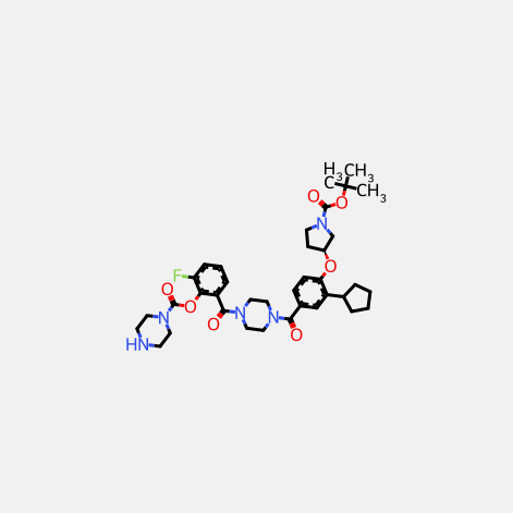 CC(C)(C)OC(=O)N1CC[C@H](Oc2ccc(C(=O)N3CCN(C(=O)c4cccc(F)c4OC(=O)N4CCNCC4)CC3)cc2C2CCCC2)C1